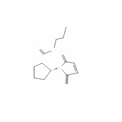 CCCOC(=O)[C@H]1CCC[C@@H]1N1C(=O)C=CC1=O